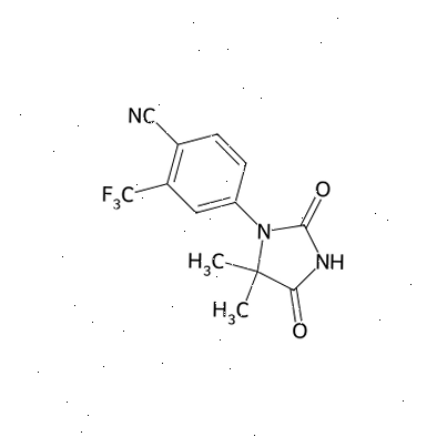 CC1(C)C(=O)NC(=O)N1c1ccc(C#N)c(C(F)(F)F)c1